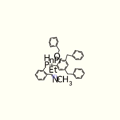 CCCC(CC)(Pc1ccccc1/C=N/C)c1cc(Cc2ccccc2)cc(Cc2ccccc2)c1OCc1ccccc1